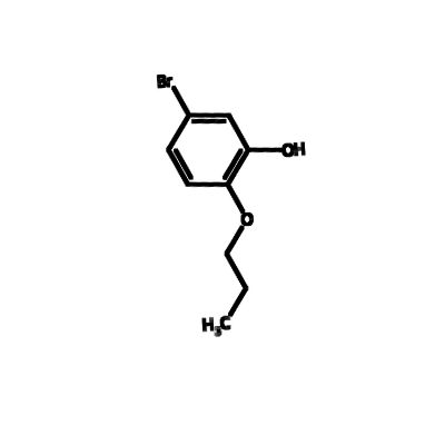 CCCOc1ccc(Br)cc1O